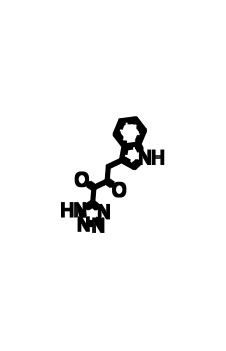 O=C(Cc1c[nH]c2ccccc12)C(=O)c1nnn[nH]1